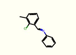 Cc1cccc(/C=N/c2ccccc2)c1Cl